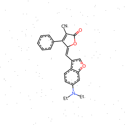 CCN(CC)c1ccc2c(C=C3OC(=O)C(C#N)=C3c3ccccc3)coc2c1